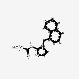 O=C(O)C(=O)Oc1nccn1Cc1cccc2ccccc12